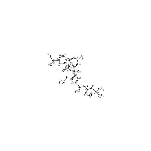 CSc1sc(C(=N)NC(=O)OC(C)(C)C)cc1S(=O)(=NS(=O)(=O)c1cccc([N+](=O)[O-])c1)c1cccc(Br)c1